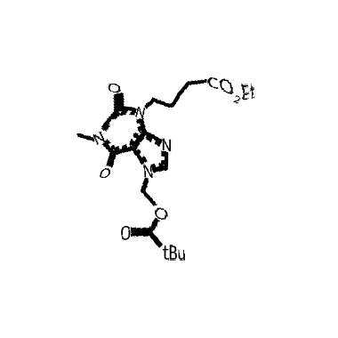 CCOC(=O)CCCn1c(=O)n(C)c(=O)c2c1ncn2COC(=O)C(C)(C)C